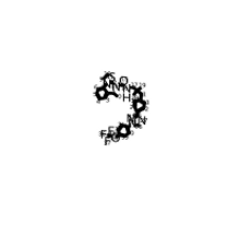 CCc1ccccc1N1CCS/C1=N\C(=O)NCC(C)(C)Cc1ccc(-c2ncn(-c3ccc(OC(F)(F)F)cc3)n2)cc1